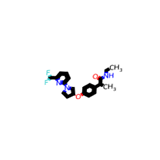 CCNC(=O)C(C)c1ccc(O[C@@H]2CCN(c3cccc(C(F)F)n3)C2)cc1